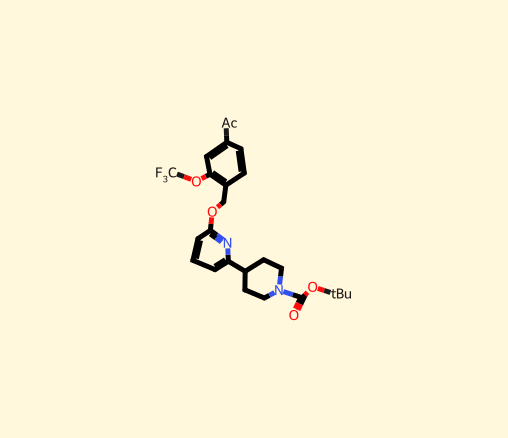 CC(=O)c1ccc(COc2cccc(C3CCN(C(=O)OC(C)(C)C)CC3)n2)c(OC(F)(F)F)c1